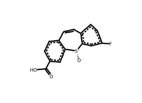 O=C(O)c1ccc2c(c1)[S@@+]([O-])c1cc(F)ccc1C=C2